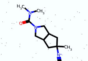 [C-]#[N+]C1(C)CC2CN(C(=O)N(C)C)CC2C1